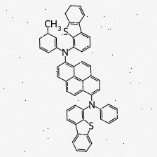 CC1C=C(N(c2ccc3ccc4c(N(c5ccccc5)c5cccc6c5sc5ccccc56)ccc5ccc2c3c54)c2cccc3c4c(sc23)CCC=C4)C=CC1